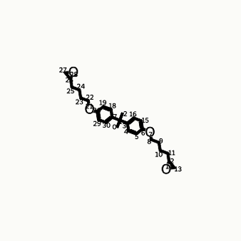 CC(C)(c1ccc(OCCCCC2CO2)cc1)c1ccc(OCCCCC2CO2)cc1